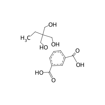 CCC(CO)(CO)CO.O=C(O)c1cccc(C(=O)O)c1